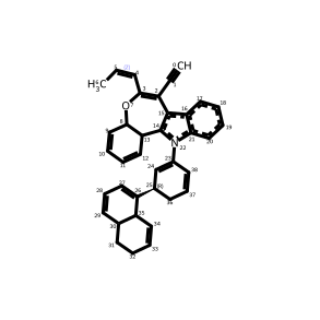 C#CC1=C(/C=C\C)OC2C=CC=CC2c2c1c1ccccc1n2C1=C[C@H](C2=CC=CC3CCC=CC23)CC=C1